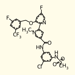 Cn1cc(C(=O)Nc2cc(Cl)cc(NS(C)(=O)=O)c2)cc1-c1ncc(F)cc1OCc1cc(F)cc(C(F)(F)F)c1